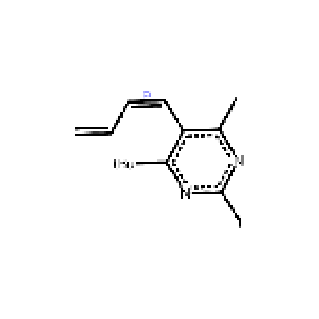 C=C/C=C\c1c(C)nc(I)nc1C(C)(C)C